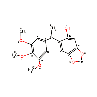 COc1cc(C(C)c2cc3c(cc2O)OCO3)cc(OC)c1OC